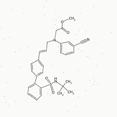 COC(=O)CN(CC=Cc1ccc(-c2ccccc2S(=O)(=O)NC(C)(C)C)cc1)c1cccc(C#N)c1